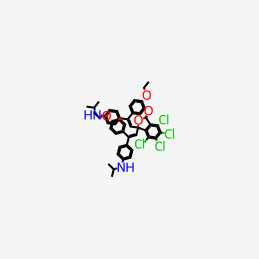 CCOc1ccc(/C(=C\C2(/C=C(/c3ccc(NC(C)C)cc3)c3ccc(OCC)cc3)OC(=O)c3c(Cl)c(Cl)c(Cl)c(Cl)c32)c2ccc(NC(C)C)cc2)cc1